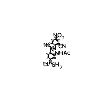 CCN(C)c1ccc(N=Nc2c(C#N)cc([N+](=O)[O-])cc2C#N)c(NC(C)=O)c1